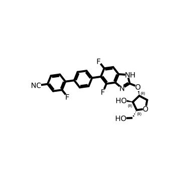 N#Cc1ccc(-c2ccc(-c3c(F)cc4[nH]c(O[C@@H]5CO[C@H](CO)[C@H]5O)nc4c3F)cc2)c(F)c1